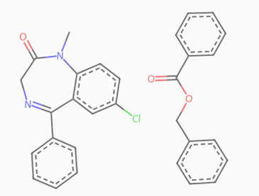 CN1C(=O)CN=C(c2ccccc2)c2cc(Cl)ccc21.O=C(OCc1ccccc1)c1ccccc1